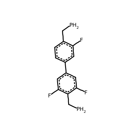 Fc1cc(-c2cc(F)c(CP)c(F)c2)ccc1CP